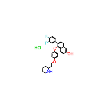 Cl.Oc1ccc2c(Oc3ccc(OCCC4CCCCN4)cc3)c(-c3ccc(F)c(F)c3)ccc2c1